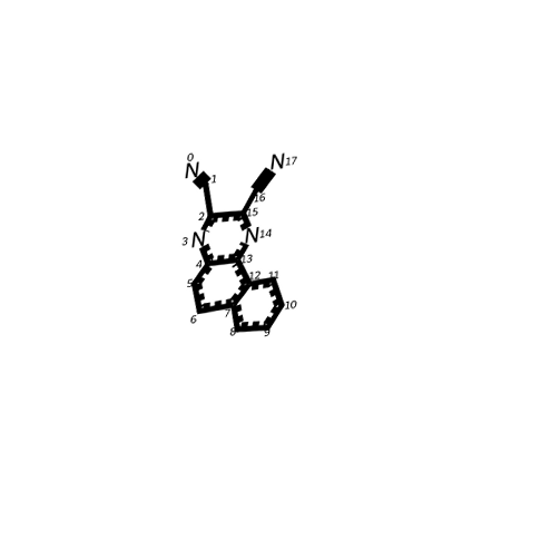 N#Cc1nc2ccc3ccccc3c2nc1C#N